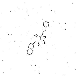 O=C(Cc1ccc2ccccc2c1)C1=C(O)C(CCc2ccccc2)=NC1=O